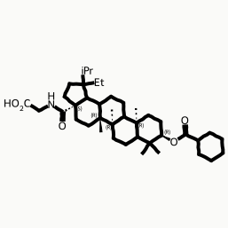 CCC1(C(C)C)CC[C@]2(C(=O)NCC(=O)O)CC[C@]3(C)C(CCC4[C@@]5(C)CC[C@@H](OC(=O)C6CCCCC6)C(C)(C)C5CC[C@]43C)C12